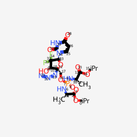 CC(C)OC(=O)[C@H](C)NP(=O)(N[C@@H](C)C(=O)OC(C)C)OC[C@@]1(N=[N+]=[N-])O[C@@H](n2ccc(=O)[nH]c2=O)C(F)(F)[C@@H]1O